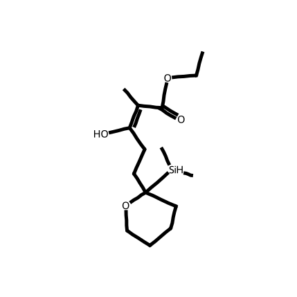 CCOC(=O)C(C)=C(O)CCC1([SiH](C)C)CCCCO1